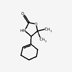 CC1(C)OC(=O)NC1C1=CCCCC1